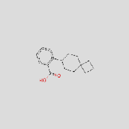 O=C(O)c1ccccc1C1CCC2(CCC2)CC1